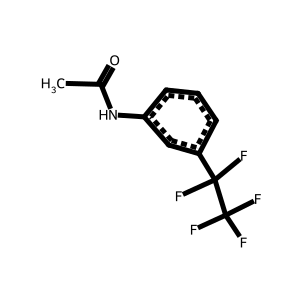 CC(=O)Nc1cccc(C(F)(F)C(F)(F)F)c1